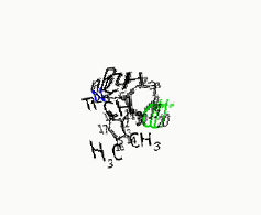 CCCC[N]([Ti+2])C(C)(C)c1ccccc1C1=C(C)C(C)=CC1.[Cl-].[Cl-]